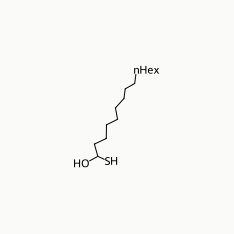 CCCCCCCCCCCCCCC(O)S